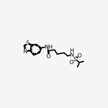 CC(C)S(=O)(=O)NCCCCC(=O)Nc1ccc2ncsc2c1